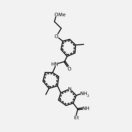 CCC(=N)c1ccc(-c2cc(NC(=O)c3cc(C)cc(OCCOC)c3)ccc2C)nc1N